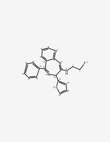 FCCNC1=Nc2ncccc2C(c2ccccc2)=NC1c1cccs1